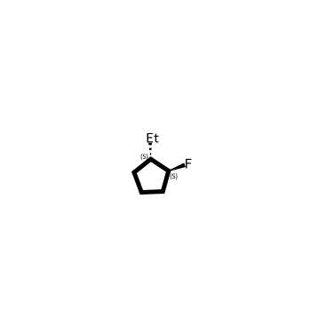 CC[C@H]1CCC[C@@H]1F